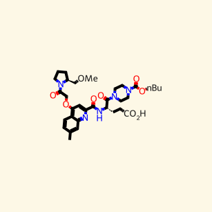 CCCCOC(=O)N1CCN(C(=O)[C@H](CCC(=O)O)NC(=O)c2cc(OCC(=O)N3CCC[C@H]3COC)c3ccc(C)cc3n2)CC1